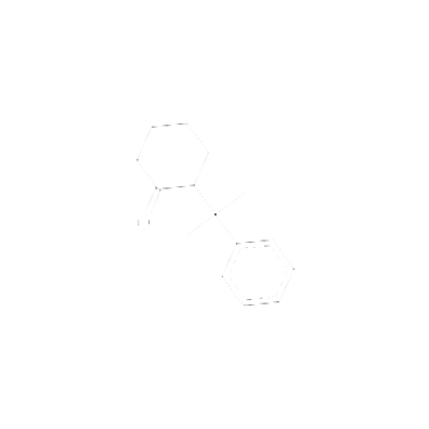 CC(C)(c1ccccc1)C1CCCCC1=O